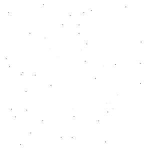 Ic1c(-c2ccccc2)cccc1-c1cccc2oc3ccccc3c12